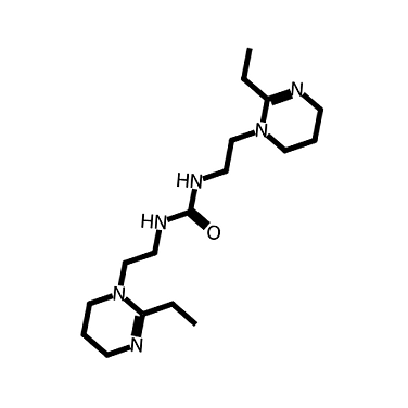 CCC1=NCCCN1CCNC(=O)NCCN1CCCN=C1CC